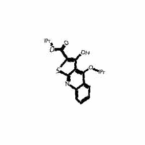 CC(C)OC(=O)c1sc2nc3ccccc3c(OC(C)C)c2c1O